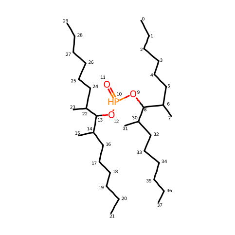 CCCCCCC(C)C(O[PH](=O)OC(C(C)CCCCCC)C(C)CCCCCC)C(C)CCCCCC